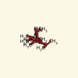 CCCCCCCCC(CCCCCC)COCCCCCCN(CCCCCC(=O)OCC(CCCCCC)CCCCCCCC)CCCN(C)CCCN(CCCCCCOCC(CCCCCC)CCCCCCCC)CCCCCC(=O)OCC(CCCCCC)CCCCCCCC